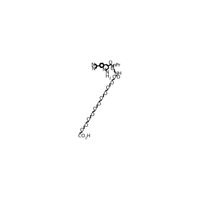 CCCN(OCCNC(=O)OCCOCCOCCOCCOCCOCCOCCOCCOCCOCCOCCC(=O)O)C(=O)C1=Cc2ccc(-c3cncnc3)cc2N=C(N)C1